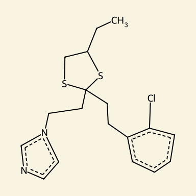 CCC1CSC(CCc2ccccc2Cl)(CCn2ccnc2)S1